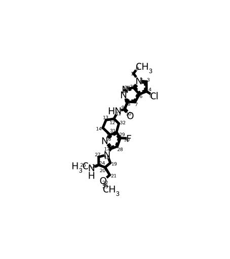 CCn1cc(Cl)c2cc(C(=O)NC3CCc4nc(N5CC(COC)C(NC)C5)cc(F)c4C3)nnc21